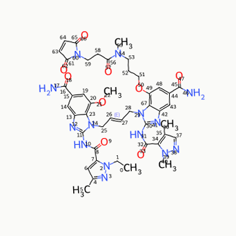 CCn1nc(C)cc1C(=O)Nc1nc2cc(C(N)=O)cc(OC)c2n1C/C=C/Cn1c(NC(=O)c2c(C)cnn2C)nc2cc(C(N)=O)cc(OCCCN(C)C(=O)CCN3C(=O)C=CC3=O)c21